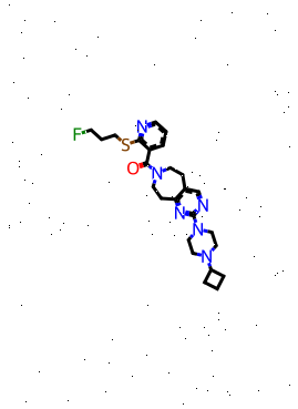 O=C(c1cccnc1SCCCF)N1CCc2cnc(N3CCN(C4CCC4)CC3)nc2CC1